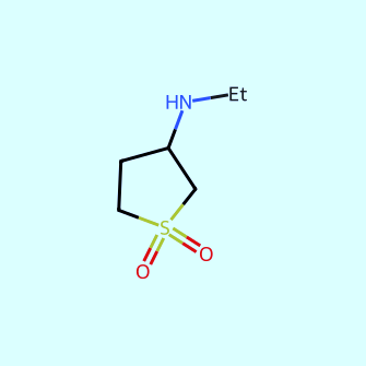 [CH2]CNC1CCS(=O)(=O)C1